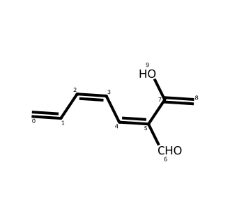 C=C/C=C\C=C(\C=O)C(=C)O